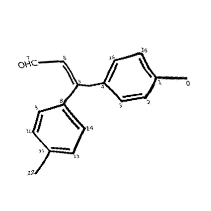 Cc1ccc(C(=CC=O)c2ccc(C)cc2)cc1